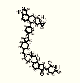 C[C@@H]1Cc2c(ccc3[nH]ncc23)[C@@H](c2ccc(N3CC4(CCC(CN5CCN6c7ccc8c(c7OC[C@H]6C5)CN([C@H]5CCC(=O)NC5=O)C8=O)CC4)C3)cn2)N1CC1(F)CC1